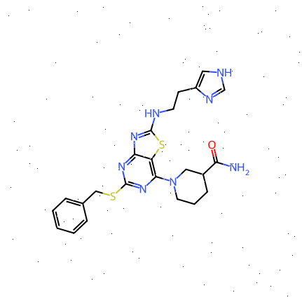 NC(=O)C1CCCN(c2nc(SCc3ccccc3)nc3nc(NCCc4c[nH]cn4)sc23)C1